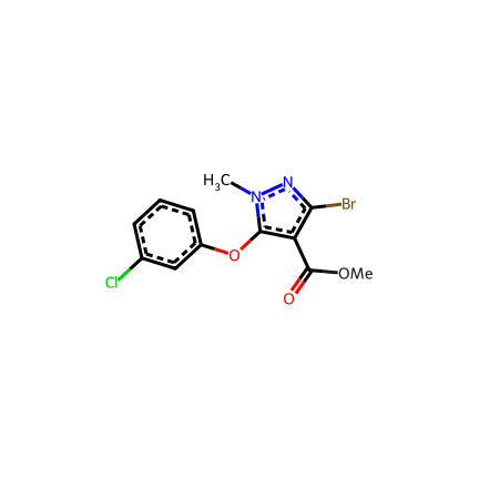 COC(=O)c1c(Br)nn(C)c1Oc1cccc(Cl)c1